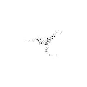 Nc1c(/N=N/c2ccc(S(=O)(=O)CCOS(=O)(=O)O)cc2)c(N)c(/N=N/c2ccc(S(=O)(=O)CCOS(=O)(=O)O)cc2S(=O)(=O)O)c(C(=O)O)c1/N=N/c1ccc(S(=O)(=O)COS(=O)(=O)O)cc1